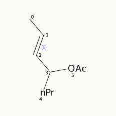 C/C=C/C(CCC)OC(C)=O